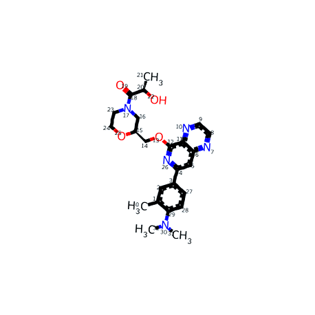 Cc1cc(-c2cc3nccnc3c(OC[C@@H]3CN(C(=O)[C@@H](C)O)CCO3)n2)ccc1N(C)C